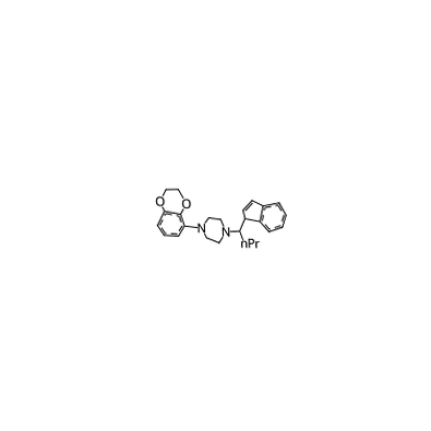 CCCC(C1C=Cc2ccccc21)N1CCN(c2cccc3c2OCCO3)CC1